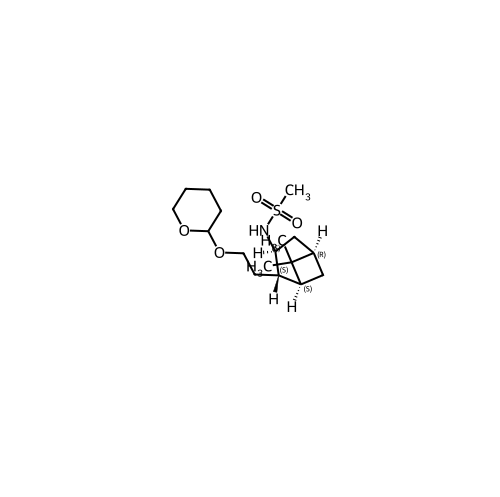 CC1(C)[C@H]2C[C@H](NS(C)(=O)=O)[C@@H](CCOC3CCCCO3)[C@@H]1C2